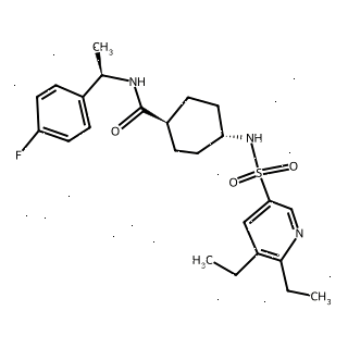 CCc1cc(S(=O)(=O)N[C@H]2CC[C@H](C(=O)N[C@H](C)c3ccc(F)cc3)CC2)cnc1CC